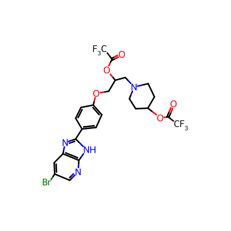 O=C(OC1CCN(CC(COc2ccc(-c3nc4cc(Br)cnc4[nH]3)cc2)OC(=O)C(F)(F)F)CC1)C(F)(F)F